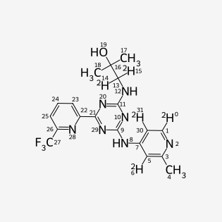 [2H]c1nc(C)c([2H])c(Nc2nc(NC([2H])([2H])C(C)(C)O)nc(-c3cccc(C(F)(F)F)n3)n2)c1[2H]